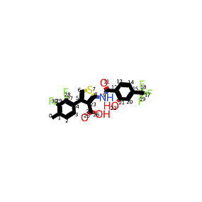 Cc1ccc(-c2csc(NC(=O)c3ccc(C(F)(F)F)cc3O)c2C(=O)O)c(F)c1F